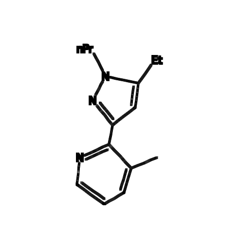 CCCn1nc(-c2ncccc2C)cc1CC